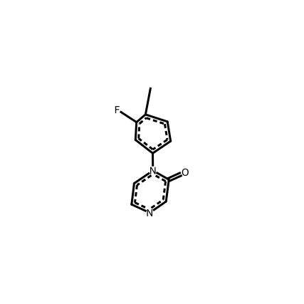 Cc1ccc(-n2ccncc2=O)cc1F